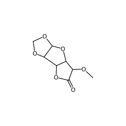 COC1C(=O)OC2C3OCOC3OC12